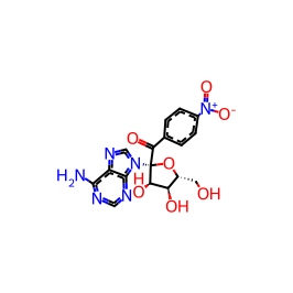 Nc1ncnc2c1ncn2[C@]1(C(=O)c2ccc([N+](=O)[O-])cc2)O[C@H](CO)[C@@H](O)[C@H]1O